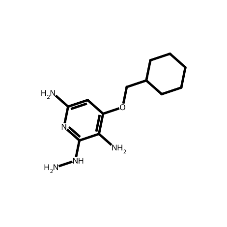 NNc1nc(N)cc(OCC2CCCCC2)c1N